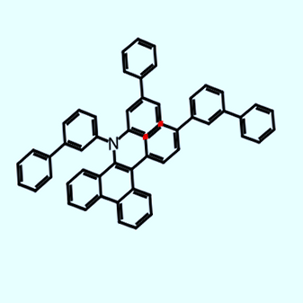 c1ccc(-c2cccc(-c3ccc(-c4c(N(c5cccc(-c6ccccc6)c5)c5cccc(-c6ccccc6)c5)c5ccccc5c5ccccc45)cc3)c2)cc1